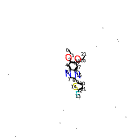 CCOc1cc2ncc(-c3ccc(F)s3)nc2cc1OCC